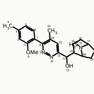 COc1cc(C)ccc1-c1nnc(C(O)C2CCC3CCC2N3C)cc1C